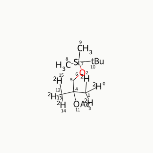 [2H]C([2H])([2H])C(CO[Si](C)(C)C(C)(C)C)(OC(C)=O)C([2H])([2H])[2H]